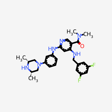 C[C@@H]1CN(c2cccc(Nc3cc(NCc4cc(F)cc(F)c4)c(C(=O)N(C)C)cn3)c2)C[C@H](C)N1